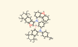 Cc1cc2c3c(c1)N(c1cccc4oc5ccccc5c14)c1c(oc4cc5c(cc14)C(C)(C)CCC5(C)C)B3c1cc3c(cc1N2c1ccc(C(C)(C)C)cc1)C(C)(C)CCC3(C)C